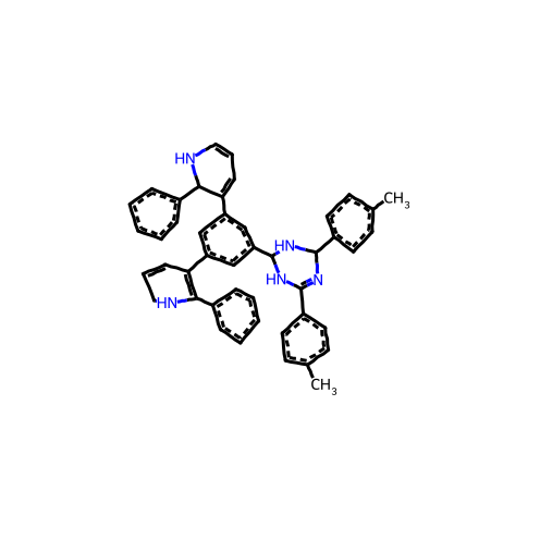 Cc1ccc(C2=NC(c3ccc(C)cc3)NC(c3cc(C4=CC=CNC4c4ccccc4)cc(C4=C(c5ccccc5)NCC=C4)c3)N2)cc1